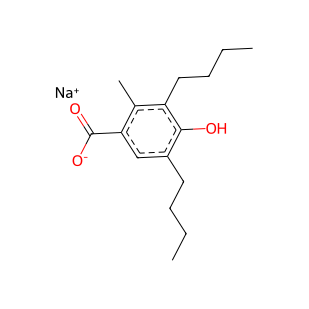 CCCCc1cc(C(=O)[O-])c(C)c(CCCC)c1O.[Na+]